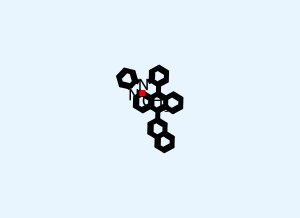 Cc1nc2ccccc2n1-c1ccccc1-c1c2ccccc2c(-c2ccc3ccccc3c2)c2ccccc12